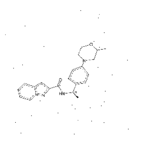 CC1CN(c2ccc([C@@H](C)NC(=O)c3cc4ccccn4n3)cc2)CCO1